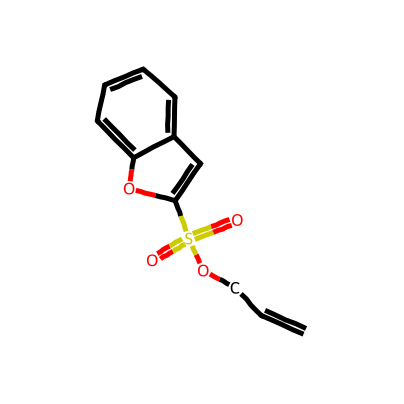 C=CCOS(=O)(=O)c1cc2ccccc2o1